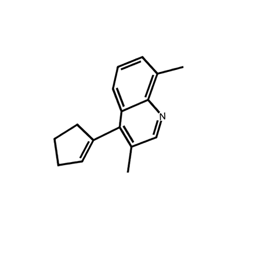 Cc1cnc2c(C)cccc2c1C1=CCCC1